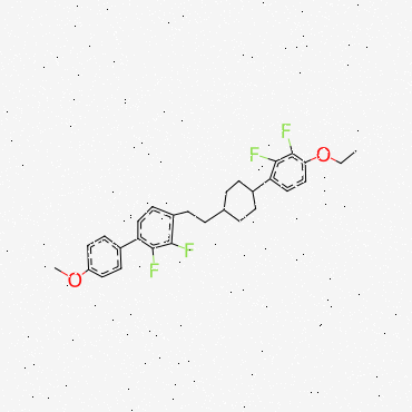 CCOc1ccc(C2CCC(CCc3ccc(-c4ccc(OC)cc4)c(F)c3F)CC2)c(F)c1F